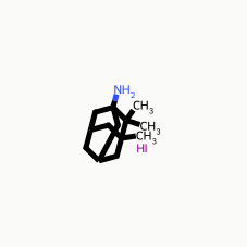 CC12CC3CC(C1)CC(N)(C3)C2(C)C.I